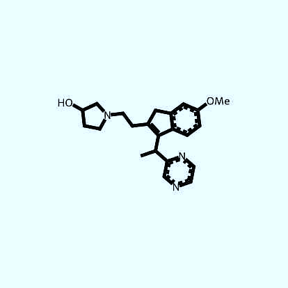 COc1ccc2c(c1)CC(CCN1CCC(O)C1)=C2C(C)c1cnccn1